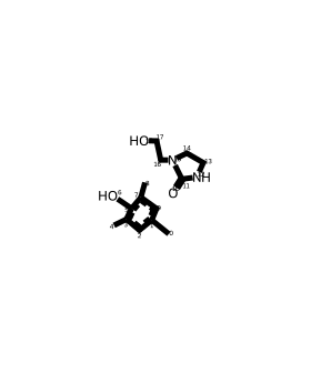 Cc1cc(C)c(O)c(C)c1.O=C1NCCN1CCO